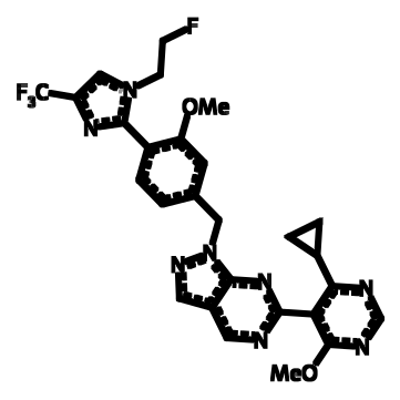 COc1cc(Cn2ncc3cnc(-c4c(OC)ncnc4C4CC4)nc32)ccc1-c1nc(C(F)(F)F)cn1CCF